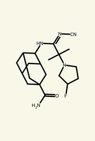 CC(C)(/C(=N\C#N)NC1C2CC3CC1CC(C(N)=O)(C3)C2)N1CCC(F)C1